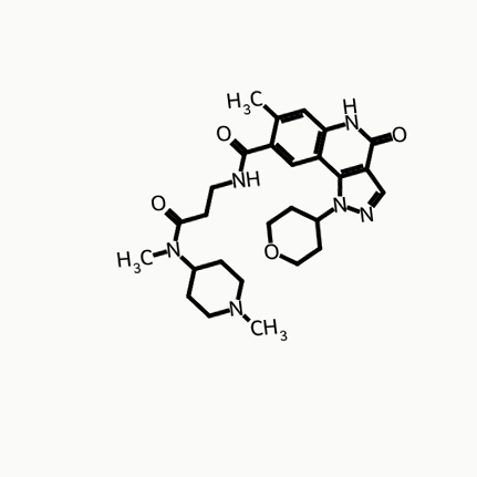 Cc1cc2[nH]c(=O)c3cnn(C4CCOCC4)c3c2cc1C(=O)NCCC(=O)N(C)C1CCN(C)CC1